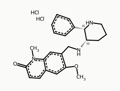 COc1cc2ccc(=O)n(C)c2cc1CN[C@H]1CCCN[C@H]1c1ccccc1.Cl.Cl